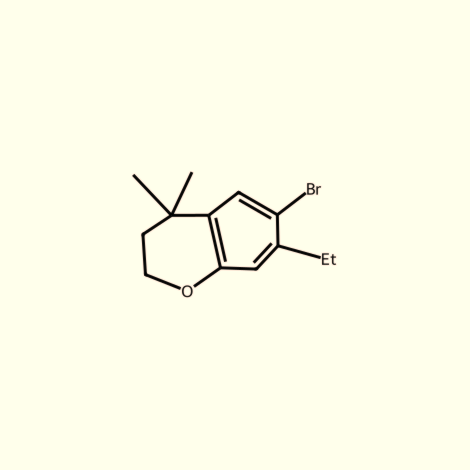 CCc1cc2c(cc1Br)C(C)(C)CCO2